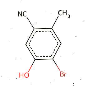 Cc1cc(Br)c(O)cc1C#N